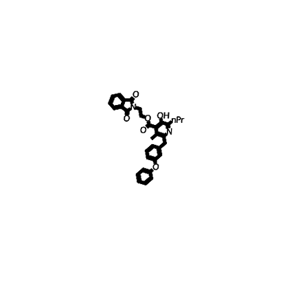 CCCc1nc(Cc2cccc(Oc3ccccc3)c2)c(C)c(C(=O)OCCN2C(=O)c3ccccc3C2=O)c1O